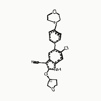 N#Cc1c(O[C@H]2CCOC2)[nH]c2cc(Cl)c(-c3ccc(N4CCOCC4)cc3)cc12